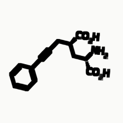 N[C@@H](C[C@@H](CC#Cc1ccccc1)C(=O)O)C(=O)O